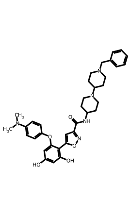 CN(C)c1ccc(Oc2cc(O)cc(O)c2-c2cc(C(=O)NC3CCN(C4CCN(Cc5ccccc5)CC4)CC3)no2)cc1